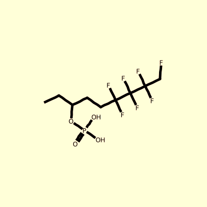 CCC(CCC(F)(F)C(F)(F)C(F)(F)CF)OP(=O)(O)O